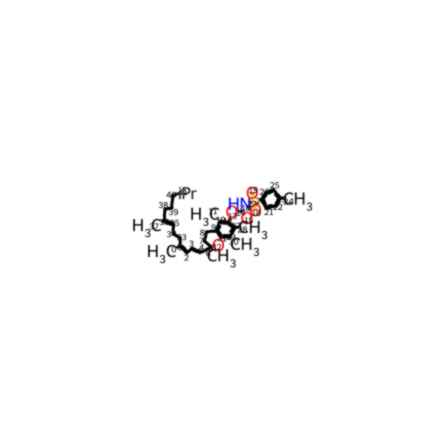 CC(=CC=C[C@@]1(C)CCc2c(C)c(OC(=O)NS(=O)(=O)c3ccc(C)cc3)c(C)c(C)c2O1)CC/C=C(\C)CCCC(C)C